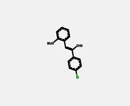 COc1ccccc1/C=C(\C=O)c1ccc(Cl)cc1